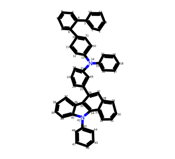 c1ccc(-c2ccccc2-c2ccc(N(c3ccccc3)c3cccc(-c4cc5ccccc5c5c4c4ccccc4n5-c4ccccc4)c3)cc2)cc1